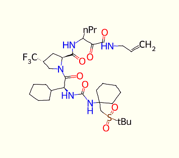 C=CCNC(=O)C(=O)C(CCC)NC(=O)[C@@H]1C[C@@H](C(F)(F)F)CN1C(=O)[C@@H](NC(=O)NC1(CS(=O)(=O)C(C)(C)C)CCCCC1)C1CCCCC1